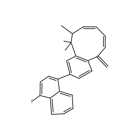 C=C1/C=C\C=C/C(C)C(C)(C)c2cc(-c3ccc(I)c4ccccc34)ccc21